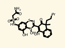 CC(C)CCC1(C)C(=O)C(C2=NSc3cc(NS(=O)(=O)CC(N)=O)cc(O)c3N2O)=C(O)c2ccccc21